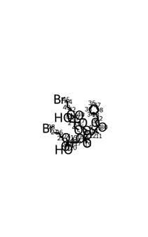 CC(CO)(COC(=O)OCC(C)(COC(=O)OCC(C)(CO)C(=O)OCCCBr)C(=O)OCc1ccccc1)C(=O)OCCCBr